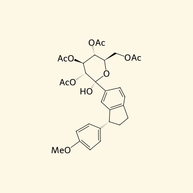 COc1ccc([C@H]2CCc3ccc([C@]4(O)O[C@H](COC(C)=O)[C@@H](OC(C)=O)[C@H](OC(C)=O)[C@H]4OC(C)=O)cc32)cc1